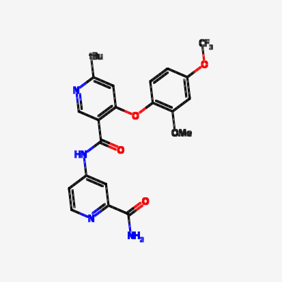 COc1cc(OC(F)(F)F)ccc1Oc1cc(C(C)(C)C)ncc1C(=O)Nc1ccnc(C(N)=O)c1